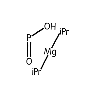 C[CH](C)[Mg][CH](C)C.O=PO